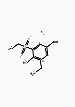 CC(C)CS(=O)(=O)c1cc(C(C)(C)C)cc(CN)c1O.Cl